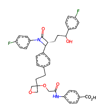 O=C(COC1(CCc2ccc(C3[C@@H](CCC(O)c4ccc(F)cc4)C(=O)N3c3ccc(F)cc3)cc2)COC1)Nc1ccc(C(=O)O)cc1